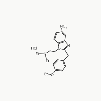 CCOc1ccc(Cc2nc3cc([N+](=O)[O-])ccc3n2CCN(CC)CC)cc1.Cl